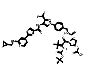 CC(C)(C)OC(=O)N[C@H](C(=O)N1C[C@@H](CC(=O)O)C[C@H]1C(=O)NCc1ccc(-n2cc(NC(=O)c3coc(-c4ccnc(NCC5CC5)c4)n3)c(C(F)F)n2)cc1)C(C)(C)C